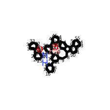 B1c2cccc3c2C(CCc2cc(-c4ccccc4)cc(-c4c(Nc5cccc6c5oc5ccccc56)ccc5c4oc4ccccc45)c21)c1ccc2ccccc2c1-3